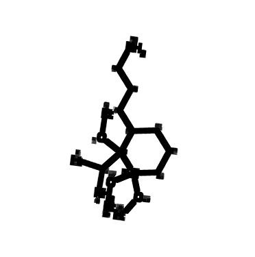 CCOC1(C(N)CC)C(CCCN)CCC[Si]1(OCC)OCC